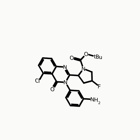 CC(C)(C)OC(=O)N1CC(F)CC1c1nc2cccc(Cl)c2c(=O)n1-c1cccc(N)c1